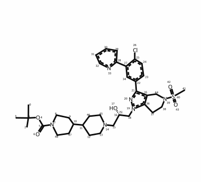 CC(C)(C)OC(=O)N1CCC(C2CCN(C[C@H](O)Cn3nc(-c4ccc(Cl)c(-c5ccccn5)c4)c4c3CCN(S(C)(=O)=O)C4)CC2)CC1